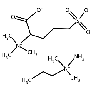 CCC[N+](C)(C)N.C[N+](C)(C)C(CCCS(=O)(=O)[O-])C(=O)[O-]